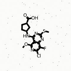 COc1nc(Cl)c(F)c2nc(SC)nc(NC3CCC(C(=O)O)C3)c12